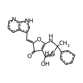 CC(C)(NC1=C(C(=O)O)C(=O)/C(=C/c2c[nH]c3ncccc23)O1)c1ccccc1